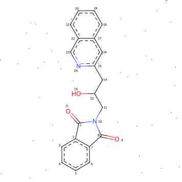 O=C1c2ccccc2C(=O)N1CC(O)Cc1cc2ccccc2cn1